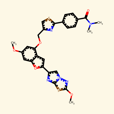 COc1cc(OCc2csc(-c3ccc(C(=O)N(C)C)cc3)n2)c2cc(-c3cn4nc(OC)sc4n3)oc2c1